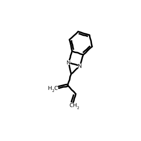 C=CC(=C)C1n2c3ccccc3n21